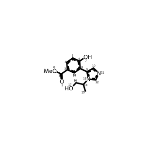 COC(=O)c1ccc(O)c(-c2cncn2C(C)CO)c1